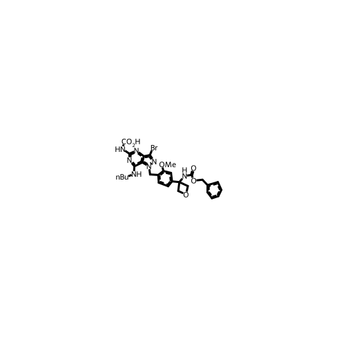 CCCCNc1nc(NC(=O)O)nc2c(Br)nn(Cc3ccc(C4(NC(=O)OCc5ccccc5)COC4)cc3OC)c12